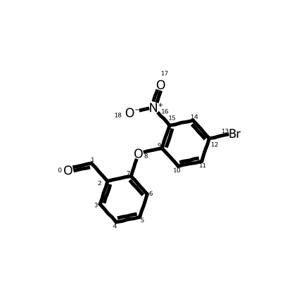 O=Cc1ccccc1Oc1ccc(Br)cc1[N+](=O)[O-]